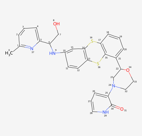 Cc1cccc(C(CO)Nc2ccc3c(c2)Sc2cccc(C4CN(c5ccc[nH]c5=O)CCO4)c2S3)n1